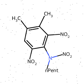 CCCCCN(c1c([N+](=O)[O-])cc(C)c(C)c1[N+](=O)[O-])[N+](=O)[O-]